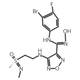 CN=[S@@](C)(=O)CCNc1nonc1/C(=N/O)Nc1ccc(F)c(Br)c1